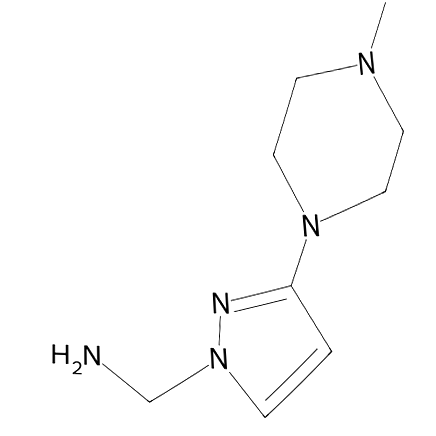 CN1CCN(c2ccn(CN)n2)CC1